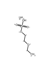 CCOCCOS(=O)(=O)O.[LiH]